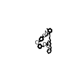 Cc1cccc2c1nc(COc1ccc(Cl)cc1)n2CCCN(CCCN1CCCCC1)CC(=O)OCc1ccccc1